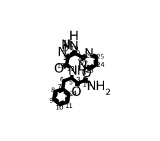 NC(=O)C(=O)C(Cc1ccccc1)NC(=O)c1nn[nH]c1-c1ncccn1